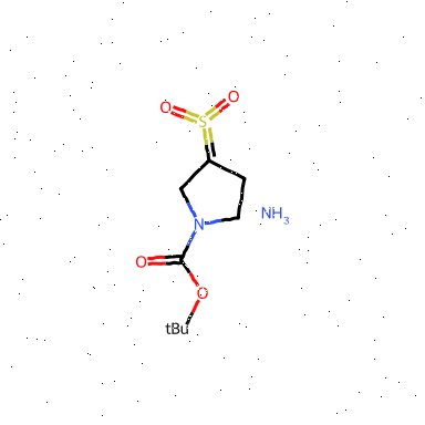 CC(C)(C)OC(=O)N1CCC(=S(=O)=O)C1.N